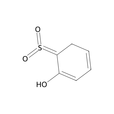 O=S(=O)=C1CC=CC=C1O